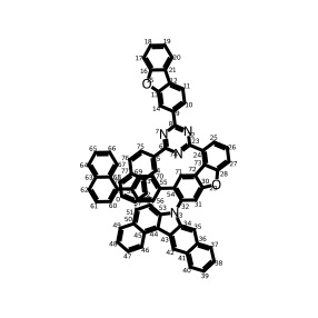 c1ccc2cc(-c3nc(-c4ccc5c(c4)oc4ccccc45)nc(-c4cccc5oc6cc(-n7c8cc9ccccc9cc8c8c9ccccc9ccc87)c(-c7ccc(-c8cccc9ccccc89)cc7)cc6c45)n3)ccc2c1